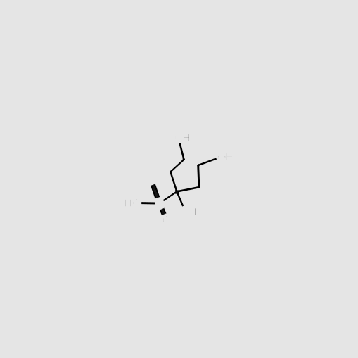 CC(CCO)(CCO)S(=O)(=O)O